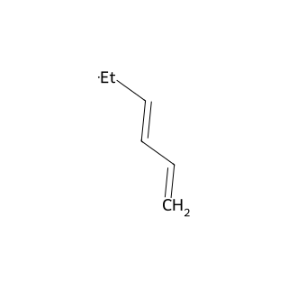 C=C/C=C/[CH]C